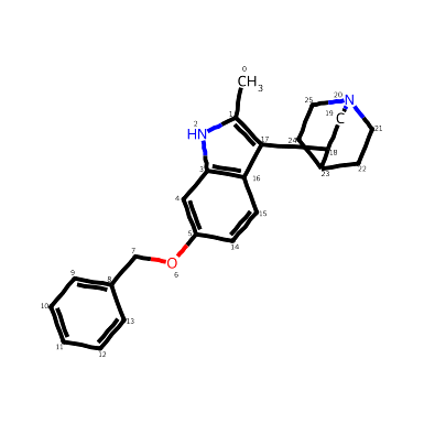 Cc1[nH]c2cc(OCc3ccccc3)ccc2c1C1CN2CCC1CC2